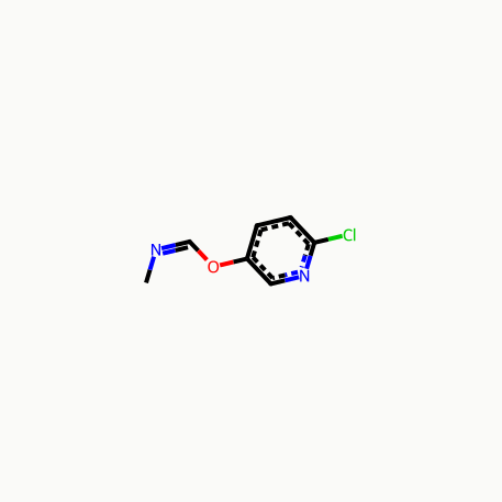 C/N=C\Oc1ccc(Cl)nc1